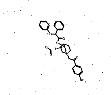 Nc1ccc(C(=O)C[N+]23CCC(CC2)[C@@H](OC(=O)C(Nc2ccccc2)c2ccccc2)C3)cc1.O=C[O-]